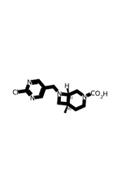 C[C@]12CCN(C(=O)O)C[C@H]1N(Cc1cnc(Cl)nc1)C2